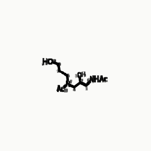 CC(=O)NCC(O)CN(CCCO)C(C)=O